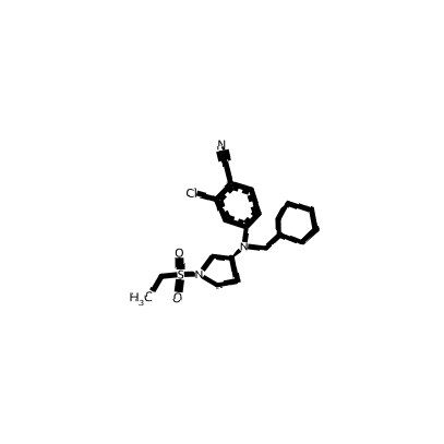 CCS(=O)(=O)N1CC[C@H](N(CC2CCCCC2)c2ccc(C#N)c(Cl)c2)C1